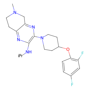 CC(C)Nc1nc2c(nc1N1CCC(Oc3ccc(F)cc3F)CC1)CN(C)CC2